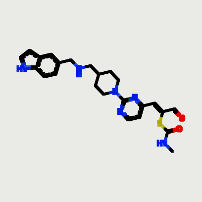 CNC(=O)S/C(C=O)=C\c1ccnc(N2CCC(CNCc3ccc4[nH]ccc4c3)CC2)n1